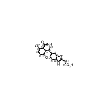 O=C(O)Nc1nc2cc(-c3n[nH]c(=O)c4c(Cl)ccc(Cl)c34)ccc2[nH]1